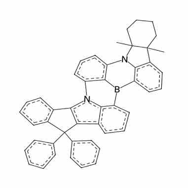 CC12CCCCC1(C)N1c3cccc4c3B(c3cccc2c31)c1cccc2c3c(n-4c12)-c1ccccc1C3(c1ccccc1)c1ccccc1